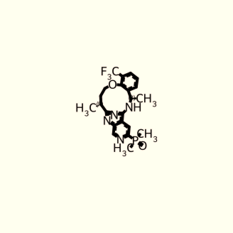 C[C@@H]1CCOc2c(cccc2C(F)(F)F)[C@@H](C)Nc2nc1nc1cnc(P(C)(C)=O)cc21